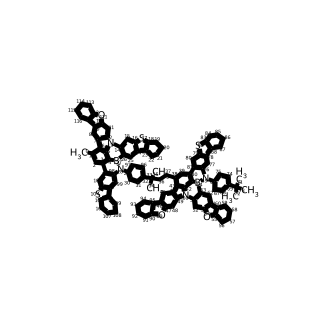 Cc1cc2c3c4c1c1cc5c(cc1n4-c1cc4sc6ccccc6c4cc1B3N(c1ccc(C(C)(C)CCc3cc4c6c7c3c3cc8c(cc3n7-c3cc7oc9ccccc9c7cc3B6N(c3ccc(C(C)(C)C)cc3)c3cc6c(cc3-4)sc3ccccc36)oc3ccccc38)cc1)c1cc3c(cc1-2)sc1ccccc13)oc1ccccc15